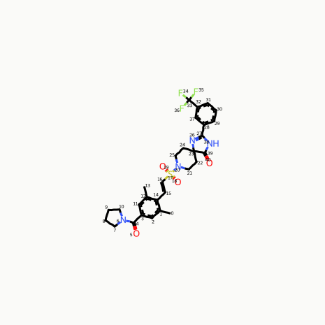 Cc1cc(C(=O)N2CCCC2)cc(C)c1C=CS(=O)(=O)N1CCC2(CC1)N=C(c1cccc(C(F)(F)F)c1)NC2=O